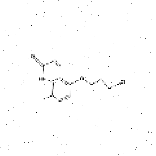 Cc1ccc(OCCCCl)c2ccc(=O)[nH]c12